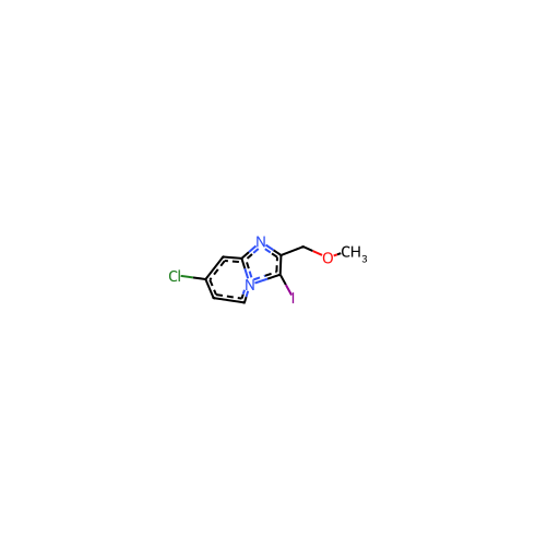 COCc1nc2cc(Cl)ccn2c1I